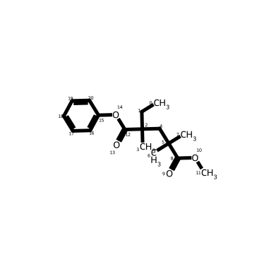 CCC(C)(CC(C)(C)C(=O)OC)C(=O)Oc1ccccc1